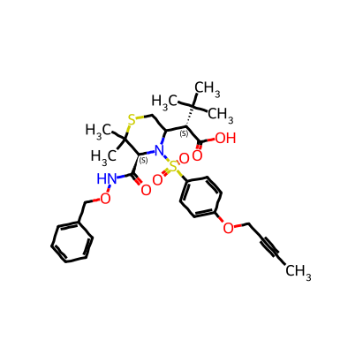 CC#CCOc1ccc(S(=O)(=O)N2C([C@@H](C(=O)O)C(C)(C)C)CSC(C)(C)[C@@H]2C(=O)NOCc2ccccc2)cc1